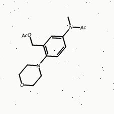 CC(=O)OCc1cc(N(C)C(C)=O)ccc1N1CCOCC1